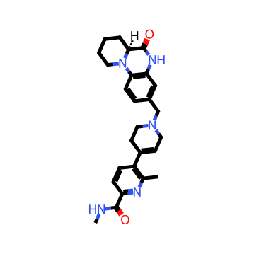 CNC(=O)c1ccc(C2=CCN(Cc3ccc4c(c3)NC(=O)[C@@H]3CCCCN43)CC2)c(C)n1